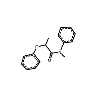 CC(Oc1ccccc1)C(=O)N(C)c1ccccc1